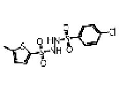 Cc1ccc(S(=O)(=O)NNS(=O)(=O)c2ccc(Cl)cc2)s1